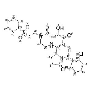 O=C1c2c(O)c(=O)nc(C3CCCN3C(=O)c3c(Cl)cccc3Cl)n2CCN1CCS(=O)(=O)c1ccccn1